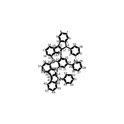 c1ccc(C2c3ccccc3-c3c2n2c4c(cccc34)B3c4c-2cc(-c2ccccn2)cc4-n2c4c3ccnc4c3c4ccccc4n(-c4ccccc4)c32)cc1